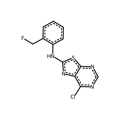 FCc1ccccc1Nc1nc2c(Cl)ncnc2s1